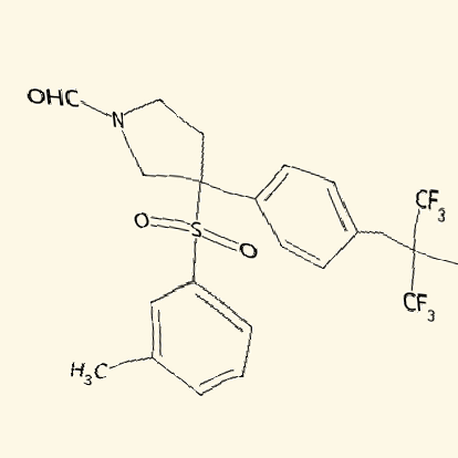 Cc1cccc(S(=O)(=O)C2(c3ccc(C(F)(C(F)(F)F)C(F)(F)F)cc3)CCN(C=O)C2)c1